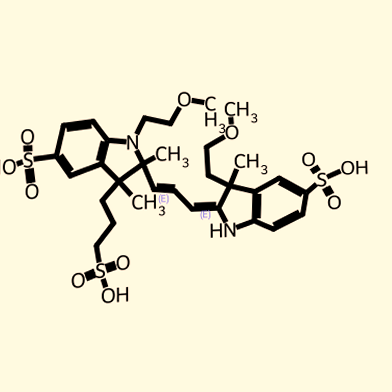 COCCN1c2ccc(S(=O)(=O)O)cc2C(C)(CCCS(=O)(=O)O)C1(C)/C=C/C=C1/Nc2ccc(S(=O)(=O)O)cc2C1(C)CCOC